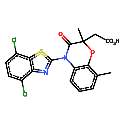 Cc1cccc2c1OC(C)(CC(=O)O)C(=O)N2c1nc2c(Cl)ccc(Cl)c2s1